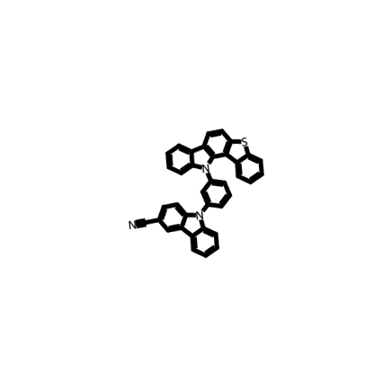 N#Cc1ccc2c(c1)c1ccccc1n2-c1cccc(-n2c3ccccc3c3ccc4sc5ccccc5c4c32)c1